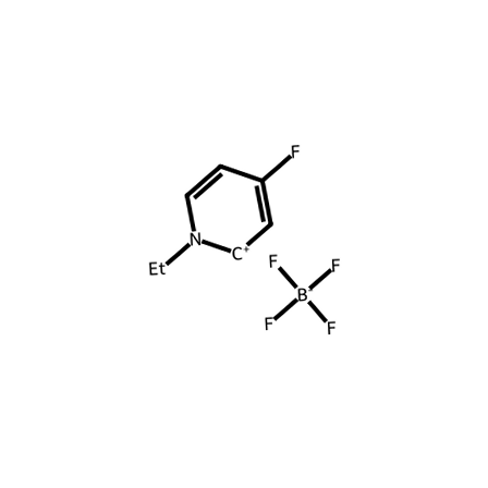 CCn1ccc(F)c[cH+]1.F[B-](F)(F)F